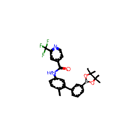 Cc1ccc(NC(=O)c2ccnc(C(F)(F)F)c2)cc1-c1cccc(B2OC(C)(C)C(C)(C)O2)c1